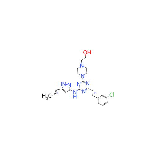 C/C=C/c1cc(Nc2nc(/C=C/c3cccc(Cl)c3)nc(N3CCN(CCO)CC3)n2)n[nH]1